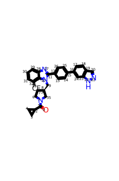 O=C(C1CC1)N1CC[C@@H](Cn2c(-c3ccc(-c4ccc5cn[nH]c5c4)cc3)nc3cccc(C(F)(F)F)c32)C1